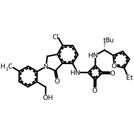 CCc1ccc([C@H](Nc2c(Nc3ccc(Cl)c4c3C(=O)N(c3cc(C)ccc3CO)C4)c(=O)c2=O)C(C)(C)C)o1